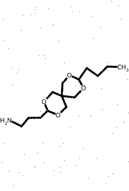 CCCCC1OCC2(CO1)COC(CCCN)OC2